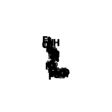 CCNC(=O)N1CCC2(CCn3nc(-c4cnc5cc(F)c(OC6CCOCC6)cc5c4)cc32)C1